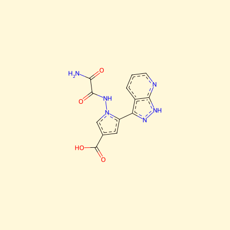 NC(=O)C(=O)Nn1cc(C(=O)O)cc1-c1n[nH]c2ncccc12